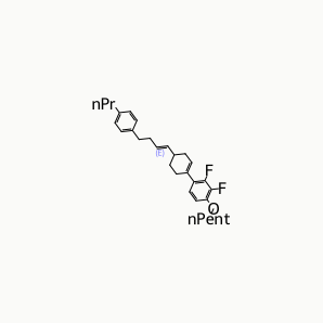 CCCCCOc1ccc(C2=CCC(/C=C/CCc3ccc(CCC)cc3)CC2)c(F)c1F